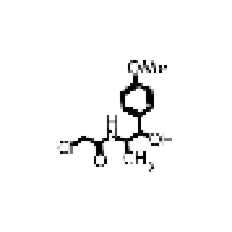 COc1ccc(C(O)C(C)NC(=O)CCl)cc1